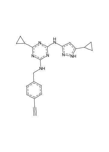 C#Cc1ccc(CNc2nc(Nc3cc(C4CC4)[nH]n3)nc(C3CC3)n2)cc1